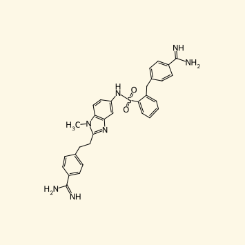 Cn1c(CCc2ccc(C(=N)N)cc2)nc2cc(NS(=O)(=O)c3ccccc3Cc3ccc(C(=N)N)cc3)ccc21